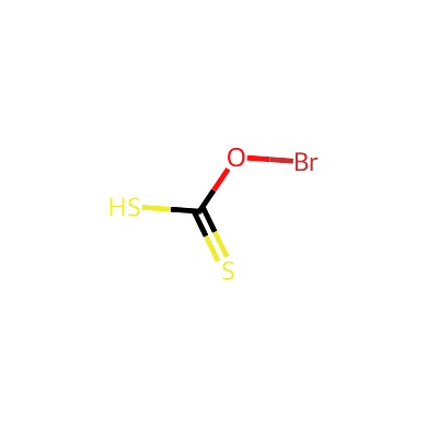 S=C(S)OBr